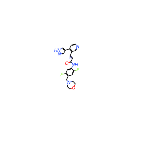 O=C(/C=C/c1cnccc1-c1cn[nH]c1)Nc1cc(F)c(CN2CCOCC2)cc1F